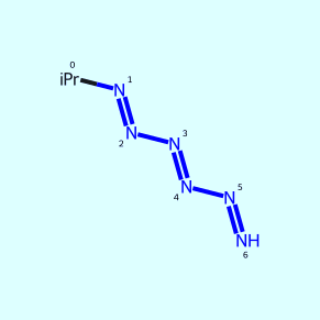 CC(C)N=NN=NN=N